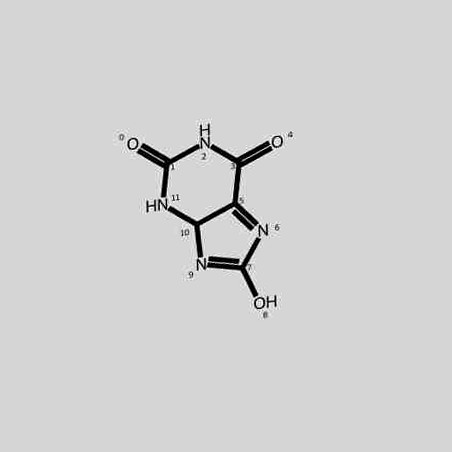 O=C1NC(=O)C2=NC(O)=NC2N1